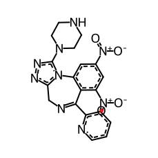 O=[N+]([O-])c1cc2c(c([N+](=O)[O-])c1)C(c1ccccn1)=NCc1nnc(N3CCNCC3)n1-2